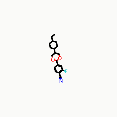 CCC1CCC(C2COC(c3ccc(C#N)c(F)c3)OC2)CC1